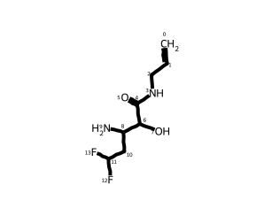 C=CCNC(=O)C(O)C(N)CC(F)F